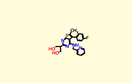 Cc1sc2nc(C(CO)CO)nc(NCc3ccccn3)c2c1-c1ccc(F)cc1